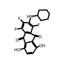 O=C1c2c(O)ccc(O)c2C(=O)c2c(F)c(NC3CCCCC3)c(F)c(F)c21